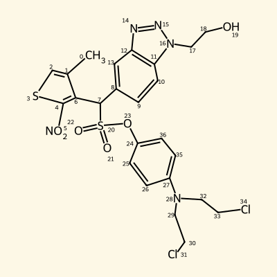 Cc1csc([N+](=O)[O-])c1C(c1ccc2c(c1)nnn2CCO)S(=O)(=O)Oc1ccc(N(CCCl)CCCl)cc1